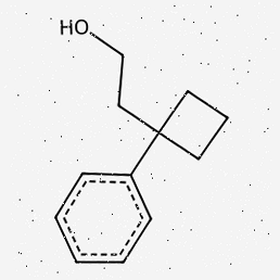 OCCC1(c2ccccc2)CCC1